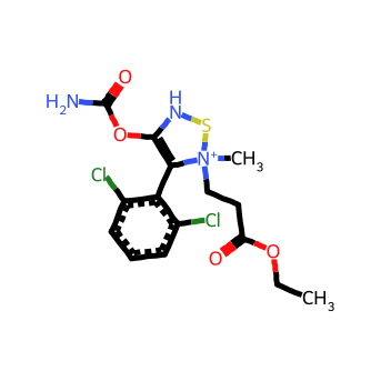 CCOC(=O)CC[N+]1(C)SNC(OC(N)=O)=C1c1c(Cl)cccc1Cl